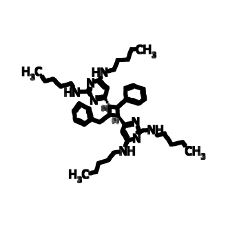 CCCCCNc1cc([C@H]2C(Cc3ccccc3)[C@H](c3cc(NCCCCC)nc(NCCCCC)n3)C2c2ccccc2)nc(NCCCCC)n1